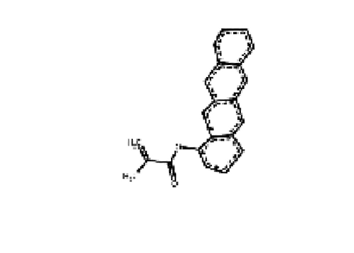 C=C(C)C(=O)Oc1cccc2cc3cc4ccccc4cc3cc12